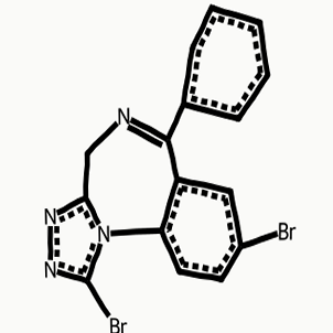 Brc1ccc2c(c1)C(c1ccccc1)=NCc1nnc(Br)n1-2